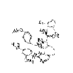 Bc1ccc(Nc2ncc3c(n2)-c2c(c(C(=O)Nc4c(CC)cccc4CC)nn2Cc2ccc(OC)cc2)CCC3)c(OC)c1